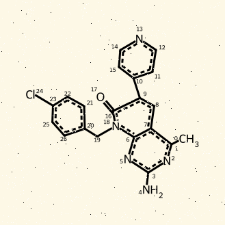 Cc1nc(N)nc2c1cc(-c1ccncc1)c(=O)n2Cc1ccc(Cl)cc1